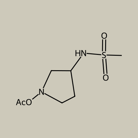 CC(=O)ON1CCC(NS(C)(=O)=O)C1